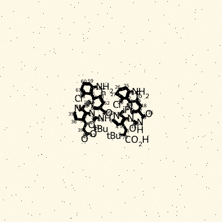 CC(C)c1nccc(CC(C(=O)O)C(C)(C)C)c1-n1c(=O)[nH]c(=O)c2cc(F)c(-c3c(N)cccc3Cl)nc21.CC(C)c1nccc(CCC(=O)OC(C)(C)C)c1-n1c(=O)[nH]c(=O)c2cc(F)c(-c3c(N)cccc3Cl)nc21